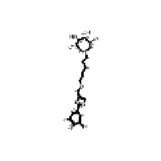 O[C@H]1[C@H](O)[C@@H](O)CN(CCCCCCOCc2csc(-c3cc(F)c(F)c(F)c3)n2)C[C@@H]1O